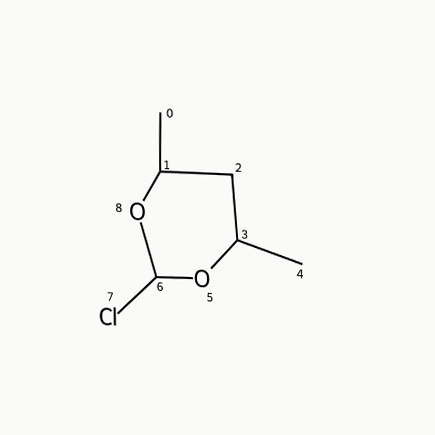 CC1CC(C)OC(Cl)O1